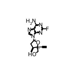 C#C[C@]1(CO)O[C@@H](n2cnc3c(N)nc(F)nc32)CC1=C